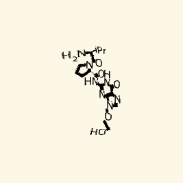 CC(C)[C@H](N)C(=O)N1CCC[C@H]1C(=O)Nc1nc2c(ncn2COCCO)c(=O)[nH]1